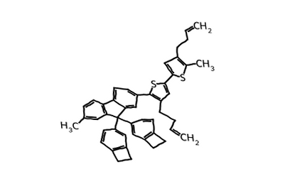 C=CCCc1cc(-c2cc(CCC=C)c(-c3ccc4c(c3)C(c3ccc5c(c3)CC5)(c3ccc5c(c3)CC5)c3cc(C)ccc3-4)s2)sc1C